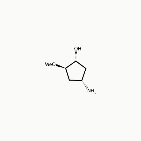 CO[C@@H]1C[C@@H](N)C[C@H]1O